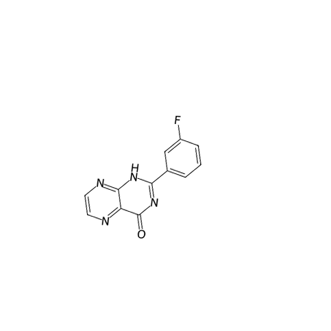 O=c1nc(-c2cccc(F)c2)[nH]c2nccnc12